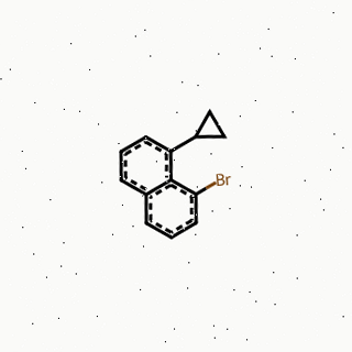 Brc1cccc2cccc(C3CC3)c12